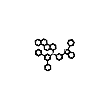 c1ccc(-c2cc(-c3ccccc3)cc(N(c3cccc(-c4oc(-c5ccccc5)c5ccccc45)c3)c3cccc4c3ccc3c5ccccc5ccc43)c2)cc1